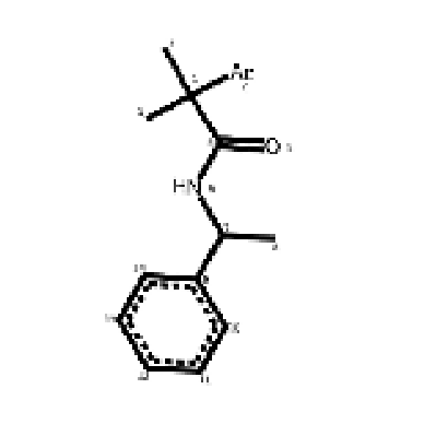 CC(=O)C(C)(C)C(=O)NC(C)c1ccccc1